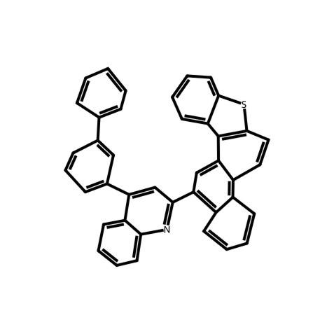 c1ccc(-c2cccc(-c3cc(-c4cc5c(ccc6sc7ccccc7c65)c5ccccc45)nc4ccccc34)c2)cc1